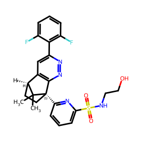 CC1(C)[C@H]2CC[C@]1(c1cccc(S(=O)(=O)NCCO)n1)c1nnc(-c3c(F)cccc3F)cc12